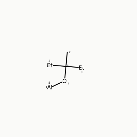 CCC(C)(CC)[O][Al]